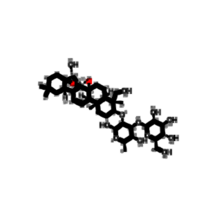 C[C@H]1O[C@@H](O)[C@H](O[C@H]2CC[C@@]3(C)[C@@H](CC[C@]4(C)[C@@H]3C=C[C@]35OC[C@@]6(CCC(C)(C)C[C@H]63)[C@@H](O)C[C@]54C)[C@]2(C)CO)[C@@H](O[C@@H]2O[C@H](CO)[C@@H](O)[C@H](O)[C@H]2O)[C@H]1O